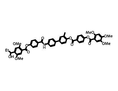 CCC(O)c1cc(OC)c(C(=O)Oc2ccc(C(=O)Nc3ccc(-c4ccc(OC(=O)c5ccc(OC(=O)c6cc(OC)c(OC)cc6OC)cc5)c(C)c4)cc3)cc2)cc1OC